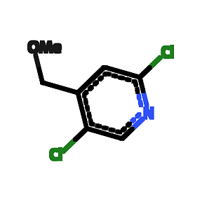 COCc1cc(Cl)ncc1Cl